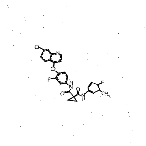 CC1C=C(NC(=O)C2(C(=O)Nc3ccc(Oc4ccnc5cc(Cl)ccc45)c(F)c3)CC2)C=CC1F